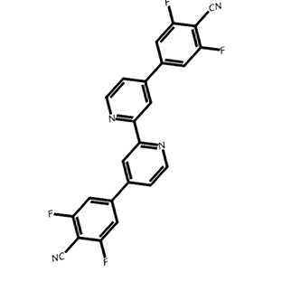 N#Cc1c(F)cc(-c2ccnc(-c3cc(-c4cc(F)c(C#N)c(F)c4)ccn3)c2)cc1F